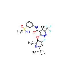 Cc1nc(C2(C)CCC2)cc(F)c1Oc1nnc(C(F)(F)F)c(C)c1C(=O)Nc1cccc(S(C)(=N)=O)c1